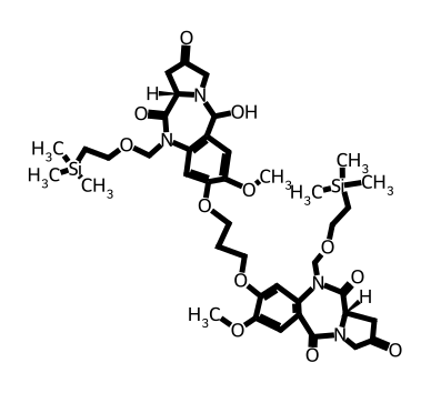 COc1cc2c(cc1OCCCOc1cc3c(cc1OC)C(O)N1CC(=O)C[C@H]1C(=O)N3COCC[Si](C)(C)C)N(COCC[Si](C)(C)C)C(=O)[C@@H]1CC(=O)CN1C2=O